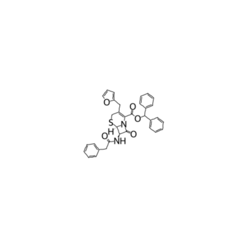 O=C(Cc1ccccc1)N[C@@H]1C(=O)N2C(C(=O)OC(c3ccccc3)c3ccccc3)=C(Cc3ccco3)CS[C@H]12